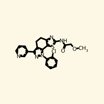 COCC(=O)Nc1nc2c(s1)-c1c(c(-c3cccnc3)nn1-c1ccccc1Cl)CC2